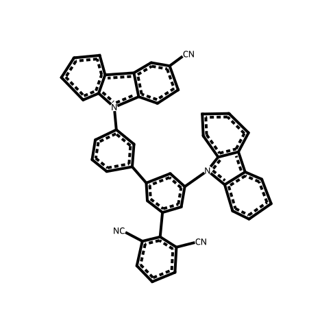 N#Cc1ccc2c(c1)c1ccccc1n2-c1cccc(-c2cc(-c3c(C#N)cccc3C#N)cc(-n3c4ccccc4c4ccccc43)c2)c1